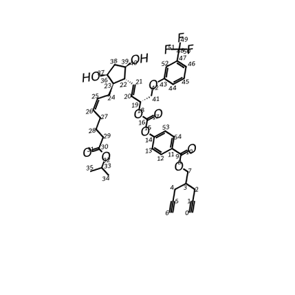 C#CCC(CC#C)COC(=O)c1ccc(OC(=O)O[C@H](/C=C/[C@@H]2[C@@H](C/C=C\CCCC(=O)OC(C)C)[C@@H](O)C[C@H]2O)COc2cccc(C(F)(F)F)c2)cc1